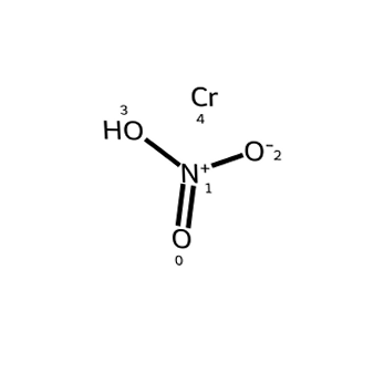 O=[N+]([O-])O.[Cr]